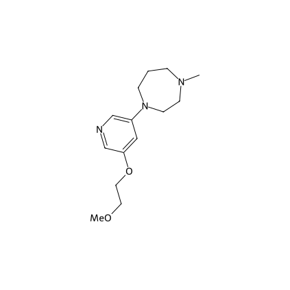 COCCOc1cncc(N2CCCN(C)CC2)c1